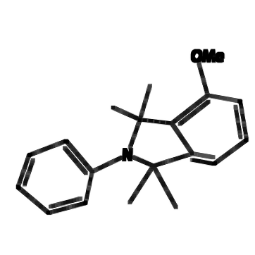 COc1cccc2c1C(C)(C)N(c1ccccc1)C2(C)C